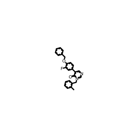 Cc1ccccc1Cn1cncc(-c2ccc(OCc3ccccc3)c(F)c2)c1=O